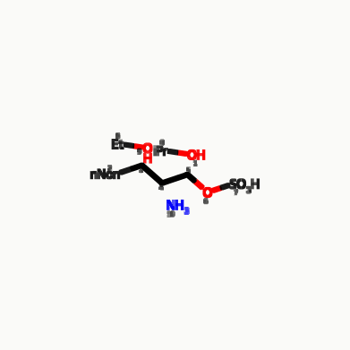 CC(C)O.CCCCCCCCCCCCOS(=O)(=O)O.CCO.N